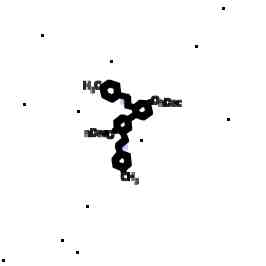 CCCCCCCCCCOc1ccc(-c2ccc(OCCCCCCCCCC)c(/C=C/c3ccc(C)cc3)c2)c(/C=C/c2ccc(C)cc2)c1